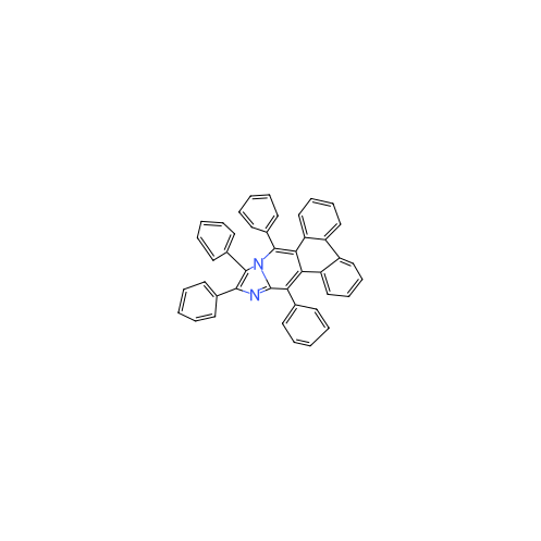 c1ccc(-c2nc3c(-c4ccccc4)c4c5ccccc5c5ccccc5c4c(-c4ccccc4)n3c2-c2ccccc2)cc1